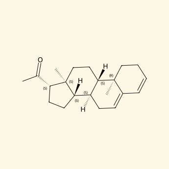 CC(=O)[C@H]1CC[C@H]2[C@@H]3CC=C4C=CCC[C@]4(C)[C@H]3CC[C@]12C